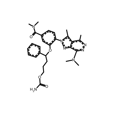 Cc1nnc(N(C)C)c2nn(-c3ccc(C(=O)N(C)C)cc3OC(CCCOC(N)=O)c3ccccc3)c(C)c12